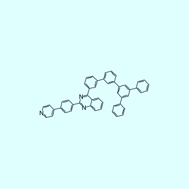 c1ccc(-c2cc(-c3ccccc3)cc(-c3cccc(-c4cccc(-c5nc(-c6ccc(-c7ccncc7)cc6)nc6ccccc56)c4)c3)c2)cc1